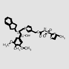 COc1cc([C@@H](O)[C@H](CC2Cc3ccccc3C2)Cn2ccc(CCC(=O)NS(=O)(=O)c3nc(C)cs3)c2)cc(OC)c1C